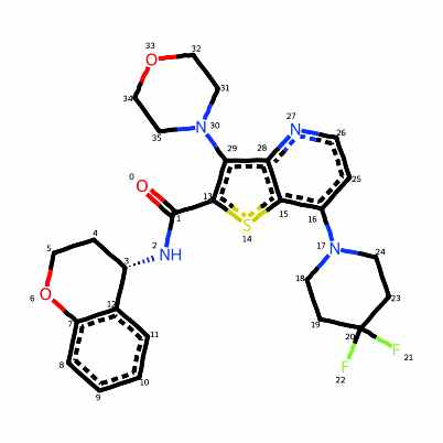 O=C(N[C@H]1CCOc2ccccc21)c1sc2c(N3CCC(F)(F)CC3)ccnc2c1N1CCOCC1